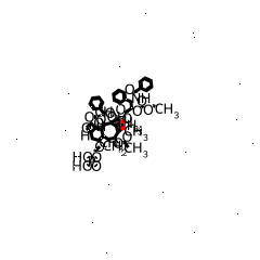 C=C1[C@H](OC(C)=O)C2=C(C)[C@@H](OC(=O)[C@H](OC(=O)OCC)[C@@H](NC(=O)c3ccccc3)c3ccccc3)C[C@@](O)([C@@H](OC(=O)c3ccccc3)[C@@H]3[C@]4(OC(C)=O)CO[C@@H]4C[C@H](OCOP(=O)(O)O)[C@@]13C)C2(C)C